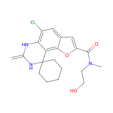 C=C1Nc2c(Cl)cc3cc(C(=O)N(C)CCO)oc3c2C2(CCCCC2)N1